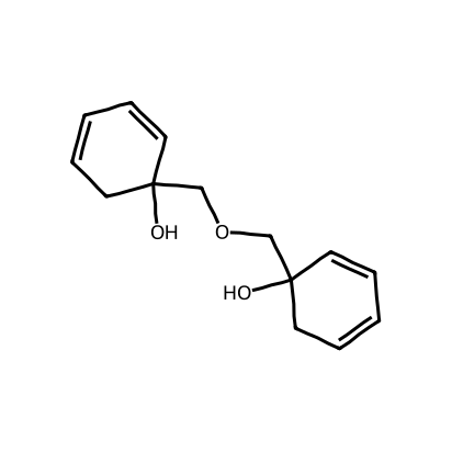 OC1(COCC2(O)C=CC=CC2)C=CC=CC1